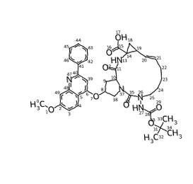 COc1ccc2c(OC3CC4C(=O)NC5(C(=O)O)CC5/C=C/CCCCN(NC(=O)OC(C)(C)C)C(=O)N4C3)cc(-c3ccccc3)nc2c1